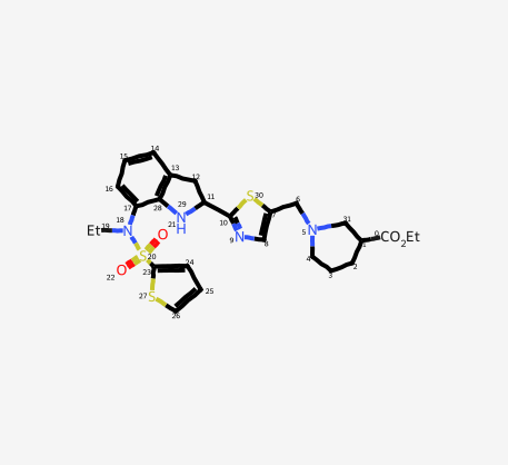 CCOC(=O)C1CCCN(Cc2cnc(C3Cc4cccc(N(CC)S(=O)(=O)c5cccs5)c4N3)s2)C1